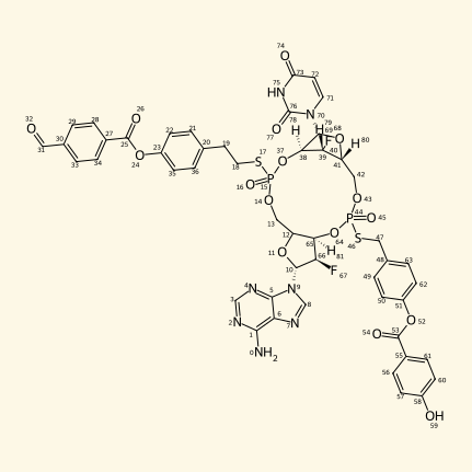 Nc1ncnc2c1ncn2[C@@H]1OC2COP(=O)(SCCc3ccc(OC(=O)c4ccc(C=O)cc4)cc3)O[C@@H]3[C@H](F)[C@@H](COP(=O)(SCc4ccc(OC(=O)c5ccc(O)cc5)cc4)O[C@H]2[C@H]1F)O[C@H]3n1ccc(=O)[nH]c1=O